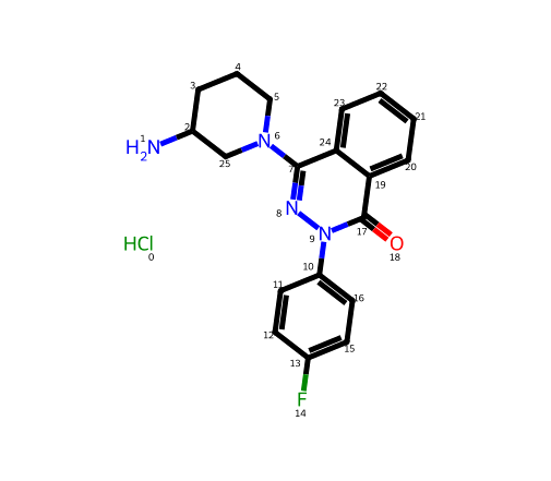 Cl.NC1CCCN(c2nn(-c3ccc(F)cc3)c(=O)c3ccccc23)C1